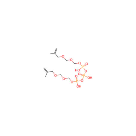 C=C(C)COCOCOP(=O)(O)OP(=O)(O)OP(=O)(O)OCOCOCC(=C)C